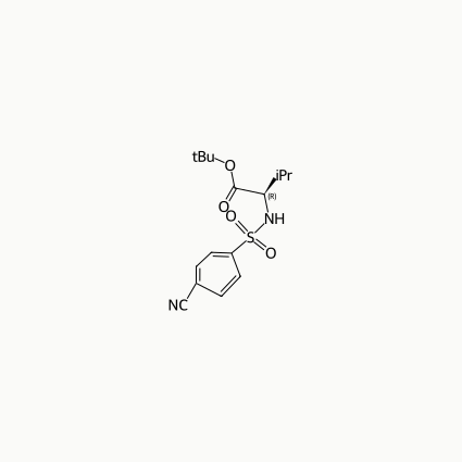 CC(C)[C@@H](NS(=O)(=O)c1ccc(C#N)cc1)C(=O)OC(C)(C)C